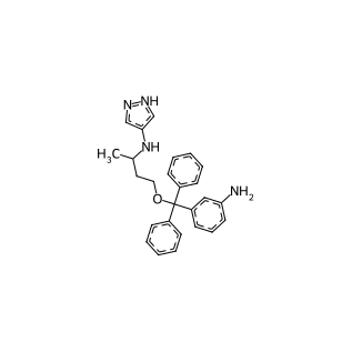 CC(CCOC(c1ccccc1)(c1ccccc1)c1cccc(N)c1)Nc1cn[nH]c1